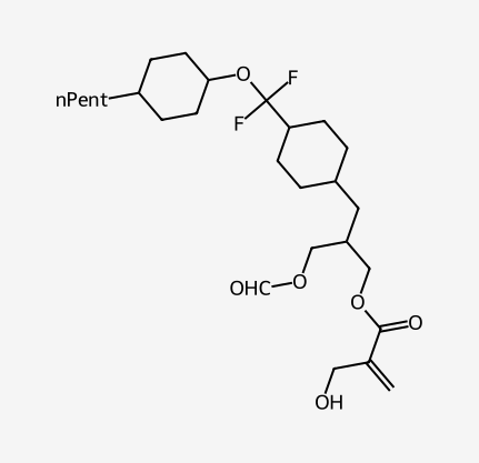 C=C(CO)C(=O)OCC(COC=O)CC1CCC(C(F)(F)OC2CCC(CCCCC)CC2)CC1